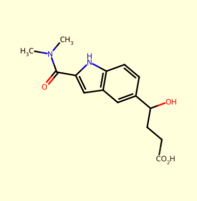 CN(C)C(=O)c1cc2cc(C(O)CCC(=O)O)ccc2[nH]1